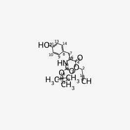 C#CCOC(=O)[C@H](Cc1ccc(O)cc1)NC(=O)OC(C)(C)C